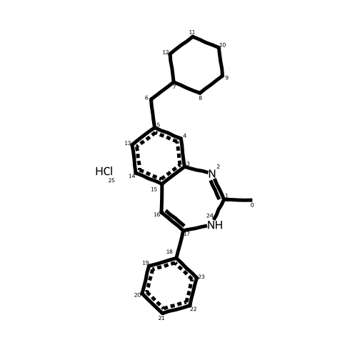 CC1=Nc2cc(CC3CCCCC3)ccc2C=C(c2ccccc2)N1.Cl